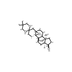 CC1(C)COC2(CC[C@@]34O[C@@]3(CC[C@@H]3C4=CC[C@]4(C)C(=O)CC[C@@H]34)C2)OC1